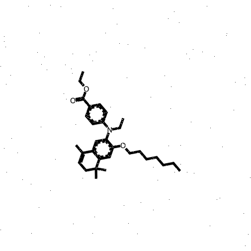 CCCCCCCOc1cc2c(cc1N(CC)c1ccc(C(=O)OCC)cc1)C(C)=CCC2(C)C